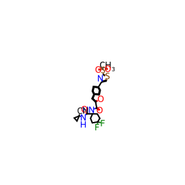 CS(=O)(=O)c1nc(-c2ccc3cc(C(=O)NC4(C(=O)NC5(C#N)CC5)CCC(F)(F)CC4)oc3c2)cs1